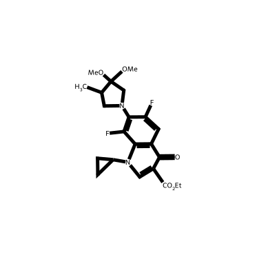 CCOC(=O)c1cn(C2CC2)c2c(F)c(N3CC(C)C(OC)(OC)C3)c(F)cc2c1=O